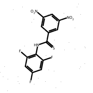 O=[N+]([O-])c1cc(C(=S)Nc2c(F)cc(F)cc2F)cc([N+](=O)[O-])c1